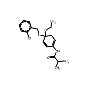 CCOC1(OCc2ccccc2Cl)C=CC(NC(=O)C(C)N)=CC1